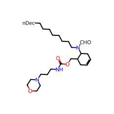 CCCCCCCCCCCCCCCCCCN(C=O)C1CC=CCC1COC(=O)NCCCN1CCOCC1